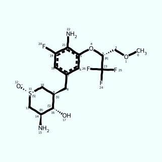 COC[C@@H](Oc1cc(C[C@@H]2C[S@@+]([O-])C[C@H](N)[C@H]2O)cc(F)c1N)C(F)(F)F